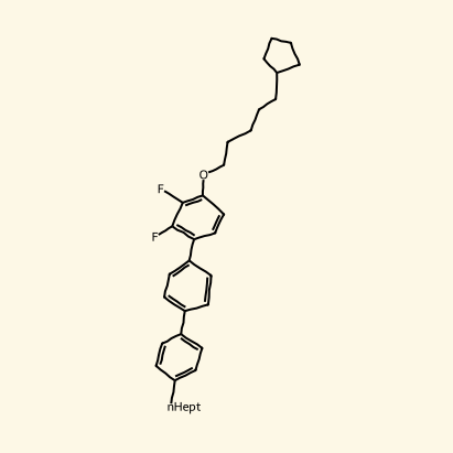 CCCCCCCc1ccc(-c2ccc(-c3ccc(OCCCCCC4CCCC4)c(F)c3F)cc2)cc1